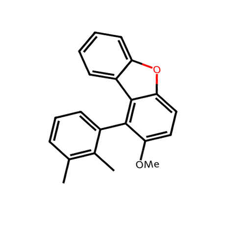 COc1ccc2oc3ccccc3c2c1-c1cccc(C)c1C